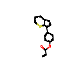 C=CC(=O)Oc1ccc(-c2ccc3cccsc2-3)cc1